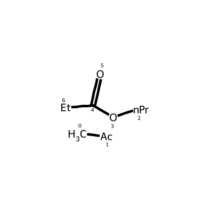 CC(C)=O.CCCOC(=O)CC